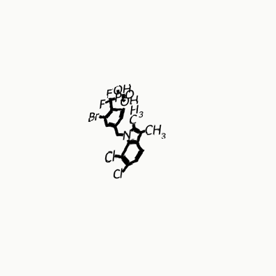 Cc1c(C)n(Cc2ccc(C(F)(F)P(=O)(O)O)c(Br)c2)c2c(Cl)c(Cl)ccc12